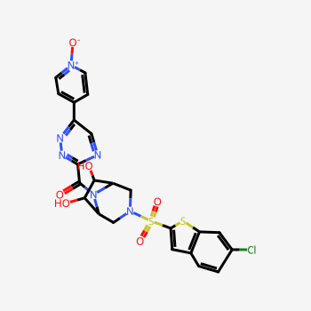 O=C(c1ncc(-c2cc[n+]([O-])cc2)nn1)N1C2CN(S(=O)(=O)c3cc4ccc(Cl)cc4s3)CC1C(O)C2O